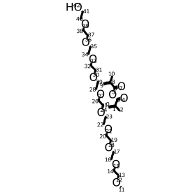 C=C(C)C(=O)OC(=O)C(=C)C.COCCOCCOCCOCCOCCOCCOCCOCCOCCOCCO